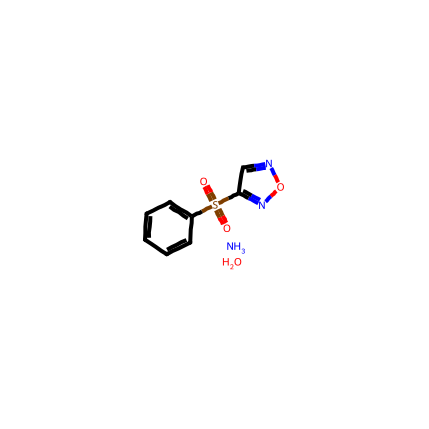 N.O.O=S(=O)(c1ccccc1)c1cnon1